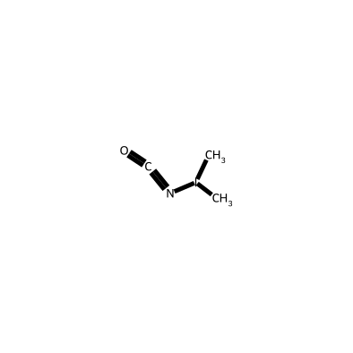 CI(C)N=C=O